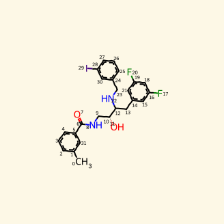 Cc1cccc(C(=O)NC[C@@H](O)C(Cc2cc(F)cc(F)c2)NCc2cccc(I)c2)c1